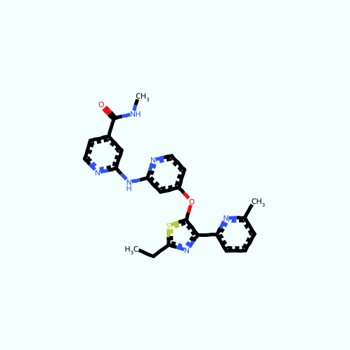 CCc1nc(-c2cccc(C)n2)c(Oc2ccnc(Nc3cc(C(=O)NC)ccn3)c2)s1